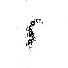 O=C(OCc1ccc(OC(F)(F)F)cc1)N1C[C@@H]2CN(C(=O)c3ccc(=O)[nH]c3)C[C@H]2C1